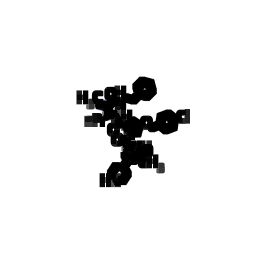 C/C=C(\C(=O)NCCc1ccccc1)[C@H](CCC)NC(=O)[C@@H]1C[C@@H](OCc2ccc(Cl)cc2)CN1C(=O)[C@@H](CCC1CCNCC1)NS(C)(=O)=O